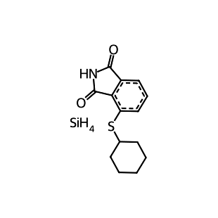 O=C1NC(=O)c2c(SC3CCCCC3)cccc21.[SiH4]